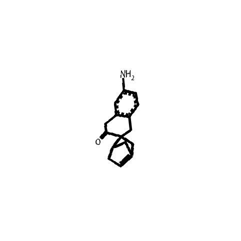 Nc1ccc2c(c1)CC(=O)C1(CC3=CCC1C3)C2